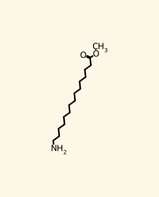 COC(=O)CCCCCCCCCCCCCCN